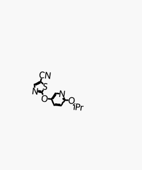 CC(C)Oc1ccc(Oc2ncc(C#N)s2)cn1